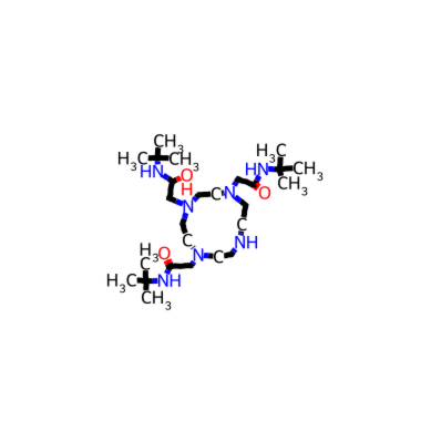 CC(C)(C)NC(=O)CN1CCNCCN(CC(=O)NC(C)(C)C)CCN(CC(O)NC(C)(C)C)CC1